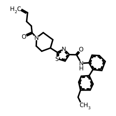 C=CCCC(=O)N1CCC(c2nc(C(=O)Nc3ccccc3-c3ccc(CC)cc3)cs2)CC1